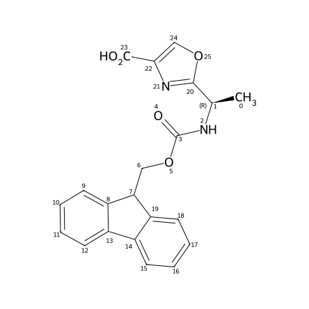 C[C@@H](NC(=O)OCC1c2ccccc2-c2ccccc21)c1nc(C(=O)O)co1